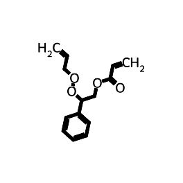 C=CCOOC(COC(=O)C=C)c1ccccc1